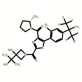 Cc1cc(C(C)(C(F)(F)F)C(F)(F)F)ccc1-c1sc(C(=O)N2CC(O)(C(C)(C)O)C2)nc1C(=O)N1CCC[C@@H]1C